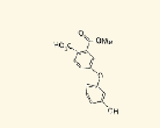 COC(=O)c1cc(Oc2cccc(O)c2)ccc1C(=O)O